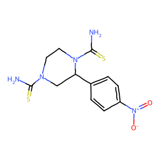 NC(=S)N1CCN(C(N)=S)C(c2ccc([N+](=O)[O-])cc2)C1